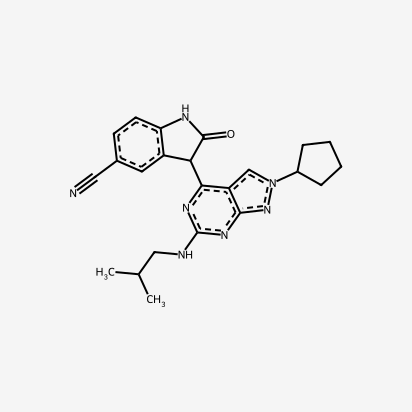 CC(C)CNc1nc(C2C(=O)Nc3ccc(C#N)cc32)c2cn(C3CCCC3)nc2n1